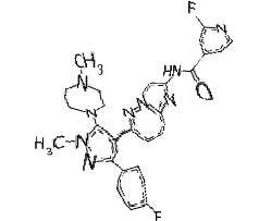 CN1CCN(c2c(-c3ccc4nc(NC(=O)c5ccnc(F)c5)cn4n3)c(-c3ccc(F)cc3)nn2C)CC1